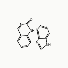 O=c1ncc2ccccc2[nH]1.c1ncc2[nH]cnc2n1